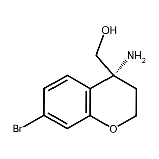 N[C@]1(CO)CCOc2cc(Br)ccc21